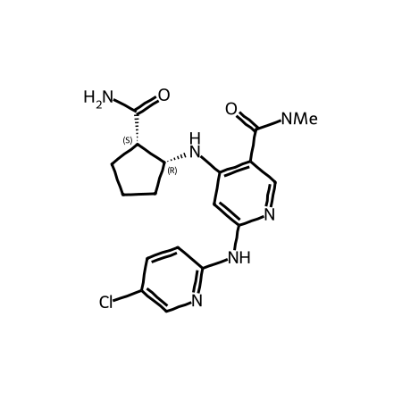 CNC(=O)c1cnc(Nc2ccc(Cl)cn2)cc1N[C@@H]1CCC[C@@H]1C(N)=O